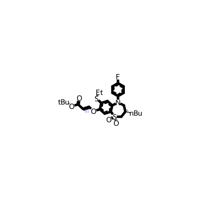 CCCC[C@H]1CN(c2ccc(F)cc2)c2cc(SCC)c(O/C=C/C(=O)OC(C)(C)C)cc2S(=O)(=O)C1